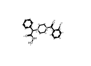 O=C(NO)C(c1ccccc1)N1CCN(C(=O)c2ccccc2F)CC1